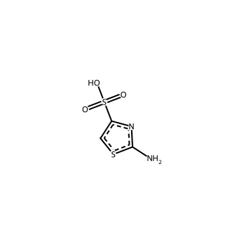 Nc1nc(S(=O)(=O)O)cs1